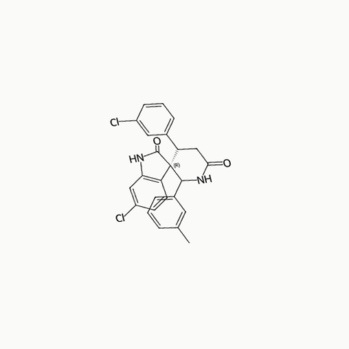 Cc1cccc(C2NC(=O)CC(c3cccc(Cl)c3)[C@]23C(=O)Nc2cc(Cl)ccc23)c1